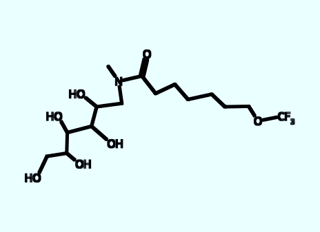 CN(CC(O)C(O)C(O)C(O)CO)C(=O)CCCCCCOC(F)(F)F